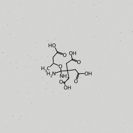 CC(CC(=O)O)OC(N)(N)C(CC(=O)O)(CC(=O)O)CC(=O)O